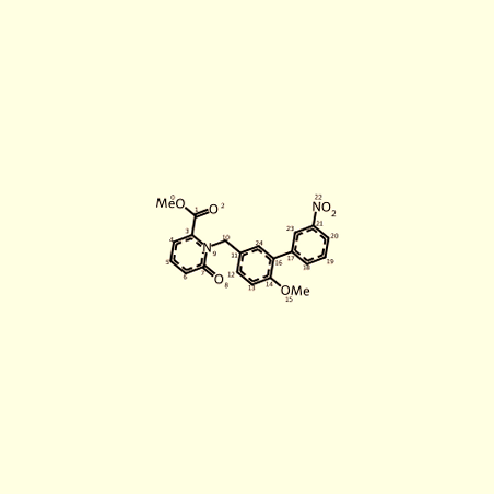 COC(=O)c1cccc(=O)n1Cc1ccc(OC)c(-c2cccc([N+](=O)[O-])c2)c1